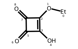 CCOc1c(O)c(=O)c1=O